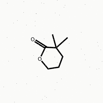 CC1(C)CCCOC1=O